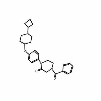 O=C(c1ccccc1)N1CCN(c2ccc(OC3CCN(C4CCC4)CC3)cc2)C(=O)C1